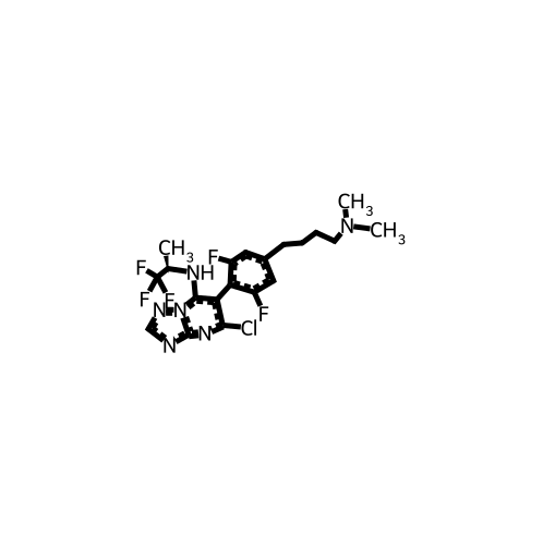 C[C@@H](Nc1c(-c2c(F)cc(CCCCN(C)C)cc2F)c(Cl)nc2ncnn12)C(F)(F)F